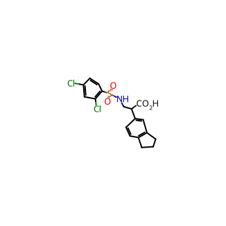 O=C(O)C(CNS(=O)(=O)c1ccc(Cl)cc1Cl)c1ccc2c(c1)CCC2